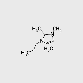 CCCN1C=CN(C)C1C.O